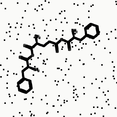 N[C@@H](Cc1ccccc1)C(=O)OC(=O)CC[C@H](N)C(=O)OC(=O)[C@@H](N)Cc1ccccc1